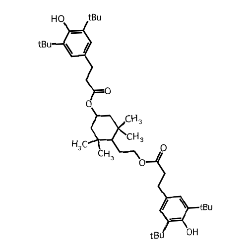 CC(C)(C)c1cc(CCC(=O)OCCC2C(C)(C)CC(OC(=O)CCc3cc(C(C)(C)C)c(O)c(C(C)(C)C)c3)CC2(C)C)cc(C(C)(C)C)c1O